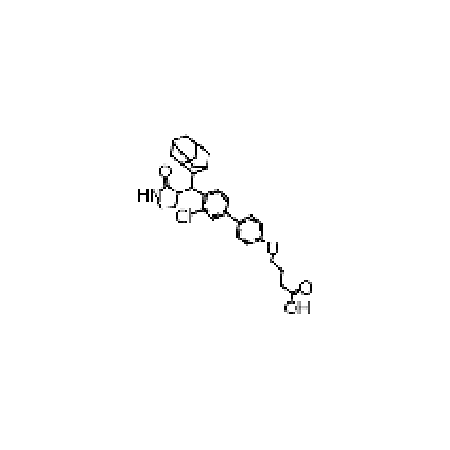 O=C(O)CCCOc1ccc(-c2ccc(C(C3CCNC3=O)C3C4CC5CC(C4)CC3C5)c(Cl)c2)cc1